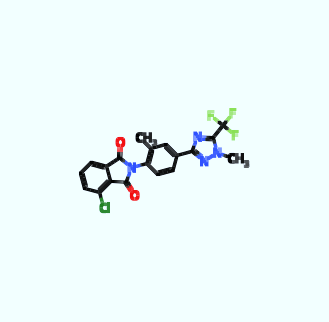 Cc1cc(-c2nc(C(F)(F)F)n(C)n2)ccc1N1C(=O)c2cccc(Cl)c2C1=O